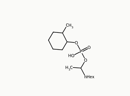 CCCCCCC(C)OP(=O)(O)OC1CCCCC1C